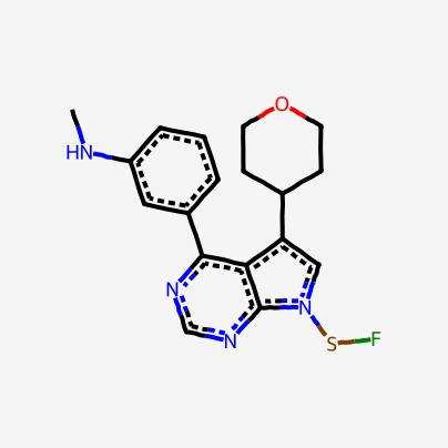 CNc1cccc(-c2ncnc3c2c(C2CCOCC2)cn3SF)c1